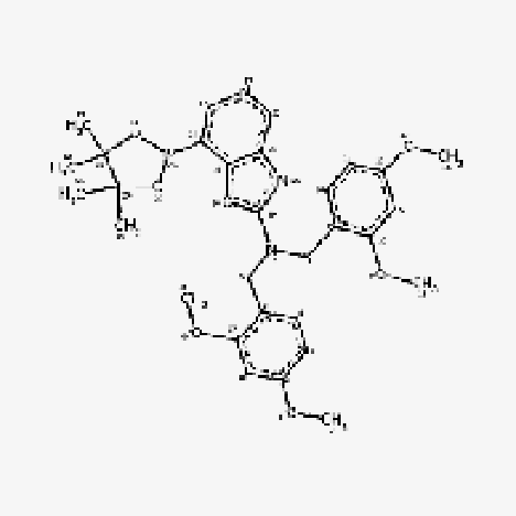 COc1ccc(CN(Cc2ccc(OC)cc2OC)c2nc3cncc(B4OC(C)(C)C(C)(C)O4)c3o2)c(OC)c1